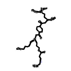 CCCCCC/C=C\CC(=O)OCCCN(CCCCCCCCCCCCCC)CC(=O)N1CCN(C(=O)CN(CCCCCCCCC)CCN(CCCCCCCCC)CCCCCCCCC)CC1